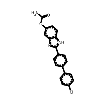 NC(=O)Oc1ccc2[nH]c(-c3ccc(-c4ccc(Cl)cc4)cc3)nc2c1